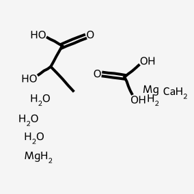 CC(O)C(=O)O.O.O.O.O=C(O)O.[CaH2].[MgH2].[MgH2]